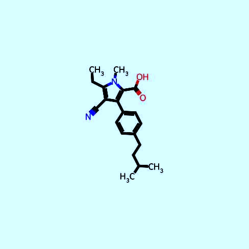 CCc1c(C#N)c(-c2ccc(CCC(C)C)cc2)c(C(=O)O)n1C